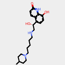 [CH2]C1CCN(CCCCCNC[C@H](O)c2ccc(O)c3[nH]c(=O)ccc23)CC1